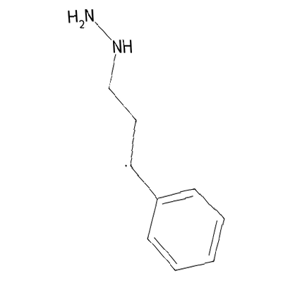 NNCC[CH]c1ccccc1